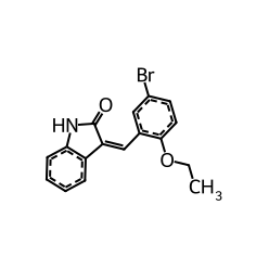 CCOc1ccc(Br)cc1C=C1C(=O)Nc2ccccc21